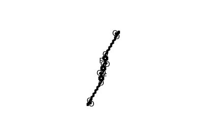 C=CC(=O)OCCCCCCCCCCOc1ccc(C(=O)Oc2ccc(OC(=O)c3ccc(OCCCCCCCCCCOC(=O)C=C)cc3F)cc2)c(F)c1